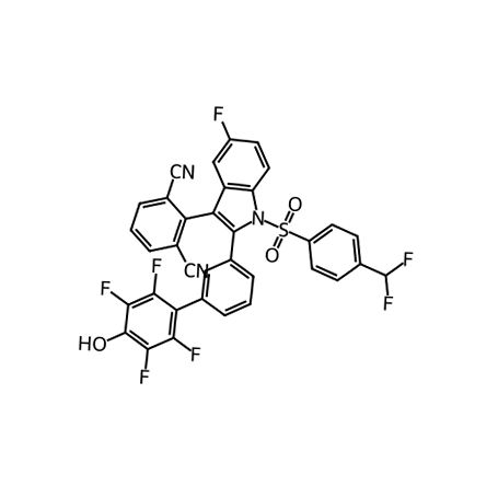 N#Cc1cccc(C#N)c1-c1c(-c2cccc(-c3c(F)c(F)c(O)c(F)c3F)c2)n(S(=O)(=O)c2ccc(C(F)F)cc2)c2ccc(F)cc12